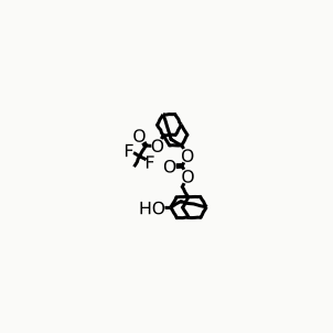 CC(F)(F)C(=O)OC12CC3CC(CC(OC(=O)OCC45CC6CC(CC(O)(C6)C4)C5)(C3)C1)C2